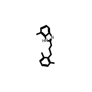 Cc1cccc(C)c1CCCc1nc2cccc(C)c2[nH]1